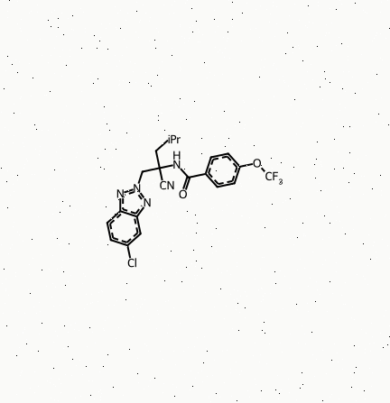 CC(C)CC(C#N)(Cn1nc2ccc(Cl)cc2n1)NC(=O)c1ccc(OC(F)(F)F)cc1